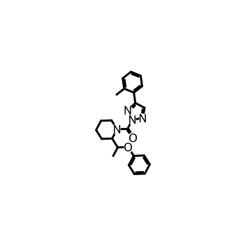 Cc1ccccc1-c1cnn(C(=O)N2CCCCC2C(C)Oc2ccccc2)n1